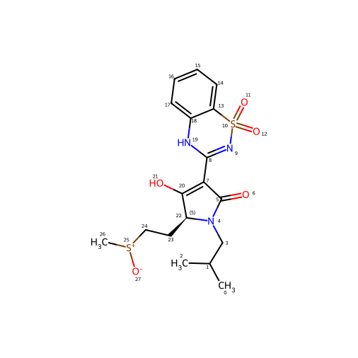 CC(C)CN1C(=O)C(C2=NS(=O)(=O)c3ccccc3N2)=C(O)[C@@H]1CC[S+](C)[O-]